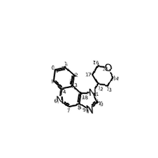 c1ccc2c(c1)ncc1ncn(C3CCOCC3)c12